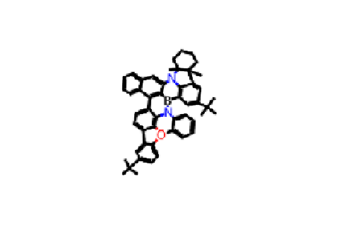 Cc1ccccc1N1B2c3cc(C(C)(C)C)cc4c3N(c3cc5ccccc5c(c32)-c2ccc3c(oc5ccc(C(C)(C)C)cc53)c21)C1(C)CCCCC41C